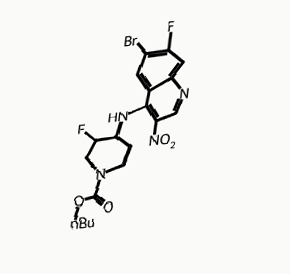 CCCCOC(=O)N1CCC(Nc2c([N+](=O)[O-])cnc3cc(F)c(Br)cc23)C(F)C1